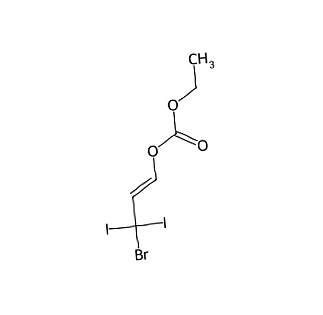 CCOC(=O)OC=CC(Br)(I)I